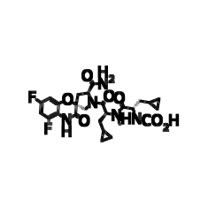 CN(C(=O)[C@H](CC1CC1)NC(=O)O)[C@@H](CC1CC1)C(=O)N1C[C@@]2(C[C@H]1C(N)=O)Oc1cc(F)cc(F)c1NC2=O